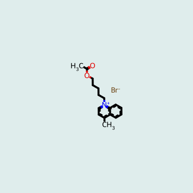 CC(=O)OCCCCC[n+]1ccc(C)c2ccccc21.[Br-]